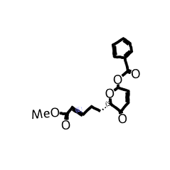 COC(=O)/C=C/CC[C@@H]1OC(OC(=O)c2ccccc2)C=CC1=O